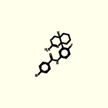 NC1=N[C@@]2(c3cc(NC(=O)c4ccc(Br)cc4)ccc3F)CCCC[C@H]2CS1